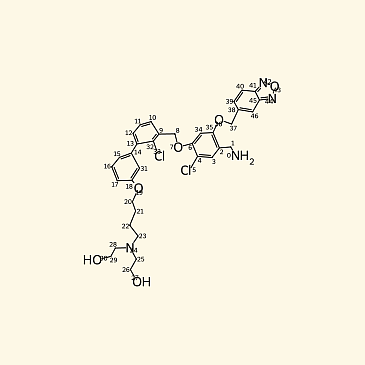 NCc1cc(Cl)c(OCc2cccc(-c3cccc(OCCCCN(CCO)CCO)c3)c2Cl)cc1OCc1ccc2nonc2c1